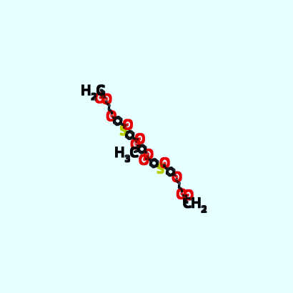 C=CC(=O)OCCCCOc1ccc(C(=O)Sc2ccc(C(=O)Oc3ccc(OC(=O)c4ccc(SC(=O)c5ccc(OCCCCOC(=O)C=C)cc5)cc4)c(C)c3)cc2)cc1